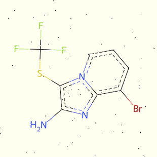 Nc1nc2c(Br)cccn2c1SC(F)(F)F